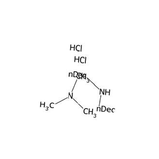 CCCCCCCCCCNCCCCCCCCCC.CN(C)C.Cl.Cl